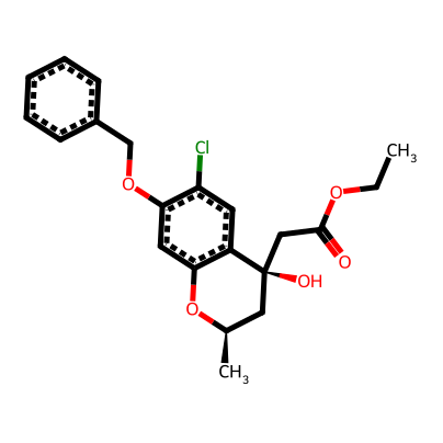 CCOC(=O)C[C@]1(O)C[C@@H](C)Oc2cc(OCc3ccccc3)c(Cl)cc21